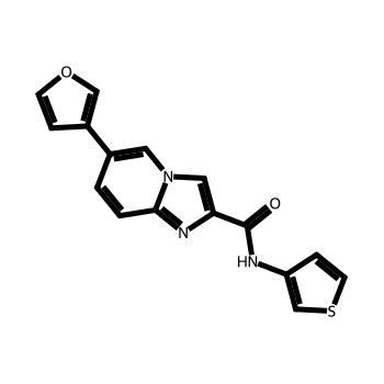 O=C(Nc1ccsc1)c1cn2cc(-c3ccoc3)ccc2n1